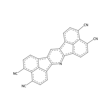 N#Cc1ccc2c3cc4c5ccc(C#N)c6c(C#N)ccc(c4nc3c3ccc(C#N)c1c23)c65